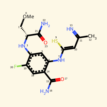 COC[C@@H](Nc1cc(N/C(S)=C/C(C)=N)c(C(N)=O)cc1F)C(N)=O